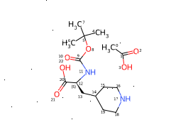 CC(=O)O.CC(C)(C)OC(=O)N[C@@H](CC1CCNCC1)C(=O)O